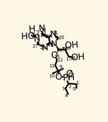 CCC(CC)[PH](=O)OC(C)(C)CCOC([C@H](O)CO)n1cnc2c(N)[n+](O)cnc21